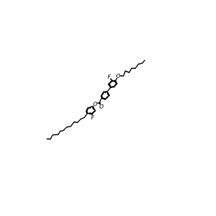 CCCCCCCCCCCCc1ccc(OC(=O)c2ccc(-c3ccc(OCCCCCCCC)c(F)c3)cc2)cc1F